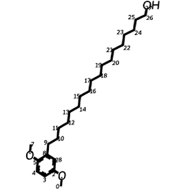 COc1ccc(OC)c(CCCCCCCCCCCCCCCCCCO)c1